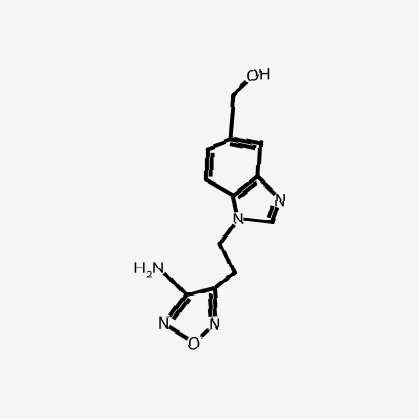 Nc1nonc1CCn1cnc2cc(CO)ccc21